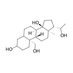 CC(O)[C@H]1CC[C@@]2(O)[C@@H]3CCC4CC(O)CC[C@]4(CO)[C@H]3CC[C@]12C